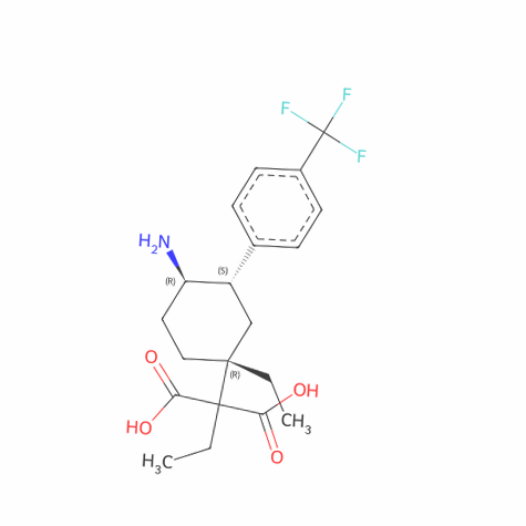 CCC(C(=O)O)(C(=O)O)[C@]1(CC)CC[C@@H](N)[C@H](c2ccc(C(F)(F)F)cc2)C1